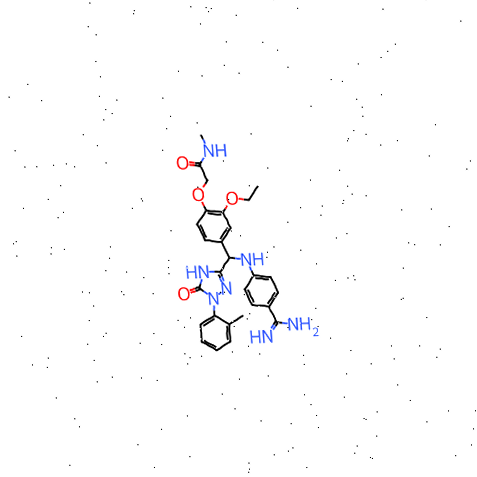 CCOc1cc(C(Nc2ccc(C(=N)N)cc2)c2nn(-c3ccccc3C)c(=O)[nH]2)ccc1OCC(=O)NC